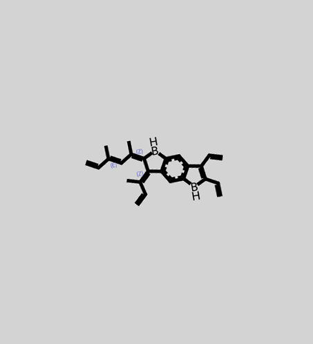 C=CC1=C(C=C)c2cc3c(cc2B1)C(=C(/C)C=C)/C(=C(C)\C=C(/C)C=C)B3